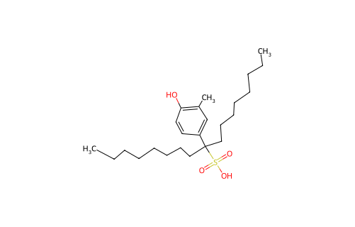 CCCCCCCCC(CCCCCCCC)(c1ccc(O)c(C)c1)S(=O)(=O)O